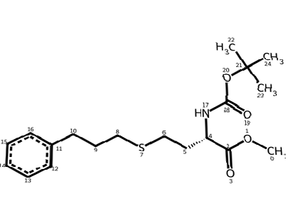 COC(=O)[C@H](CCSCCCc1ccccc1)NC(=O)OC(C)(C)C